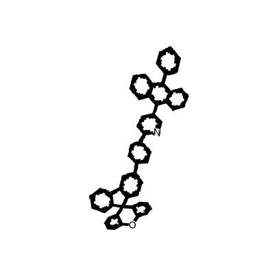 c1ccc(-c2c3ccccc3c(-c3ccc(-c4ccc(-c5ccc6c(c5)-c5ccccc5C65c6ccccc6Oc6ccccc65)cc4)nc3)c3ccccc23)cc1